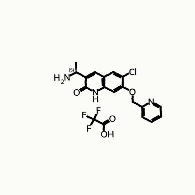 C[C@H](N)c1cc2cc(Cl)c(OCc3ccccn3)cc2[nH]c1=O.O=C(O)C(F)(F)F